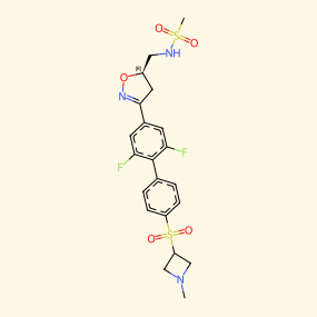 CN1CC(S(=O)(=O)c2ccc(-c3c(F)cc(C4=NO[C@@H](CNS(C)(=O)=O)C4)cc3F)cc2)C1